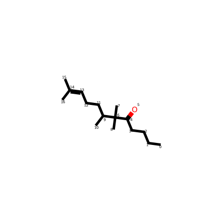 CCCCC(=O)C(C)(C)C(C)CCC=C(C)C